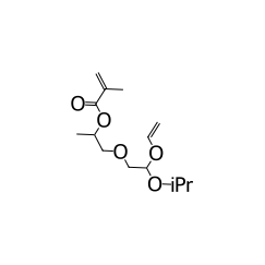 C=COC(COCC(C)OC(=O)C(=C)C)OC(C)C